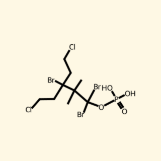 CC(C)(C(Br)(CCCl)CCCl)C(Br)(Br)OP(=O)(O)O